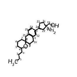 CCCCC1CCCC2(CCc3cc([C@H]4CC[C@@](N)(CO)C4)ccc3C2)O1